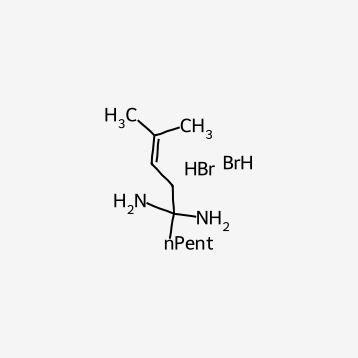 Br.Br.CCCCCC(N)(N)CC=C(C)C